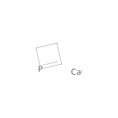 C1=PCC1.[Ca]